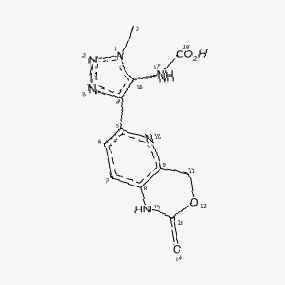 Cn1nnc(-c2ccc3c(n2)COC(=O)N3)c1NC(=O)O